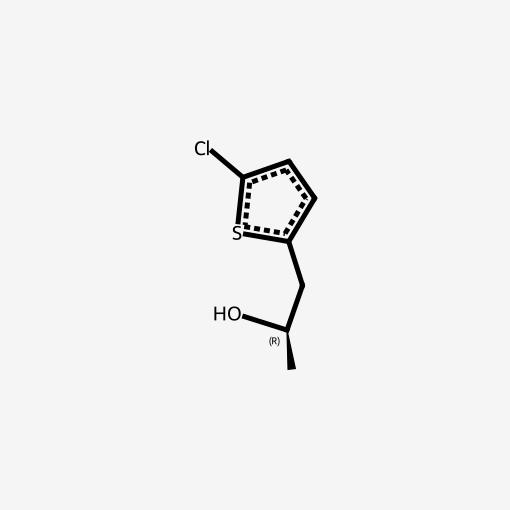 C[C@@H](O)Cc1ccc(Cl)s1